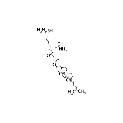 CC(C)CCCCC1CCC2C3CC=C4CC(OC(=O)CCC(=O)N(CCCCCCCC(N)S)CCC(C)N)CCC4(C)C3CCC12C